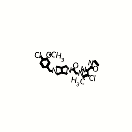 COc1cc(CN2CC3CN(C(=O)Cn4nc(-c5ncco5)c(Cl)c4C)CC3C2)ccc1Cl